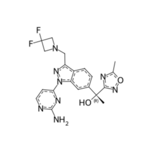 Cc1nc([C@](C)(O)c2ccc3c(CN4CC(F)(F)C4)nn(-c4ccnc(N)n4)c3c2)no1